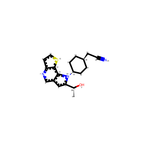 C[C@@H](O)c1cc2cnc3ccsc3c2n1[C@H]1CC[C@H](CC#N)CC1